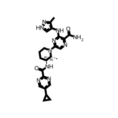 Cc1n[nH]cc1Nc1nc(N2CCC[C@@H](NC(=O)c3ncc(C4CC4)cn3)[C@H]2C)cnc1C(N)=O